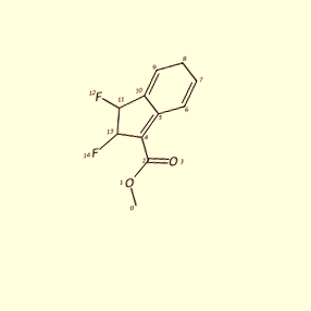 COC(=O)C1=C2C=CCC=C2C(F)C1F